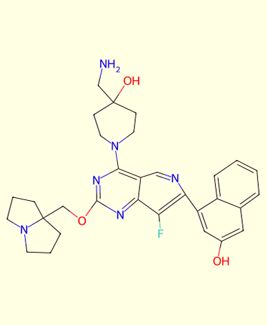 NCC1(O)CCN(c2nc(OCC34CCCN3CCC4)nc3c(F)c(-c4cc(O)cc5ccccc45)ncc23)CC1